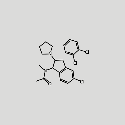 CC(=O)N(C)C1c2ccc(Cl)cc2CC1N1CCCC1.Clc1ccccc1Cl